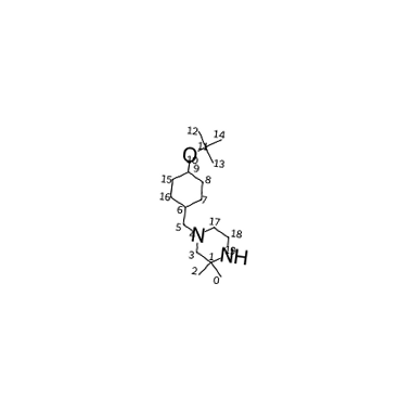 CC1(C)CN(CC2CCC(OC(C)(C)C)CC2)CCN1